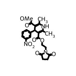 COC(=O)C1=C(C)NC(C)=C(C(=O)OCCN2C(=O)CCC2=O)C1c1cccc([N+](=O)[O-])c1